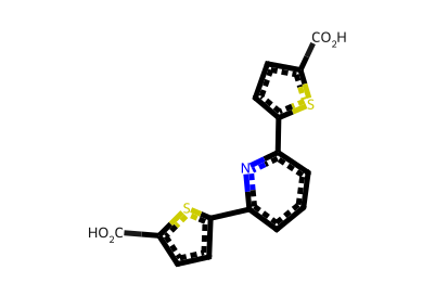 O=C(O)c1ccc(-c2cccc(-c3ccc(C(=O)O)s3)n2)s1